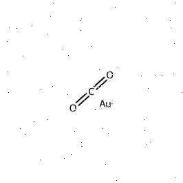 O=C=O.[Au]